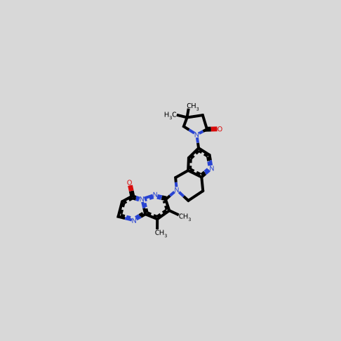 Cc1c(N2CCc3ncc(N4CC(C)(C)CC4=O)cc3C2)nn2c(=O)ccnc2c1C